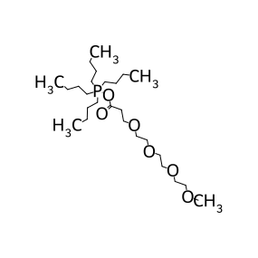 CCCCP(CCCC)(CCCC)(CCCC)OC(=O)CCOCCOCCOCCOC